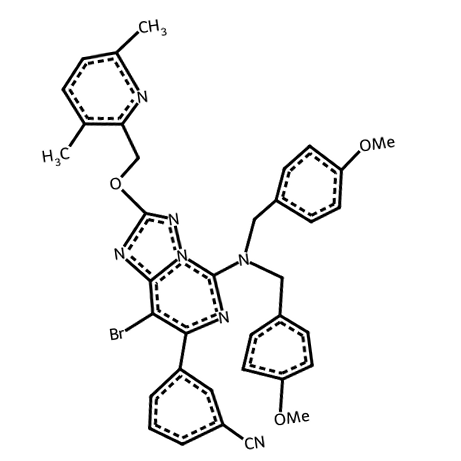 COc1ccc(CN(Cc2ccc(OC)cc2)c2nc(-c3cccc(C#N)c3)c(Br)c3nc(OCc4nc(C)ccc4C)nn23)cc1